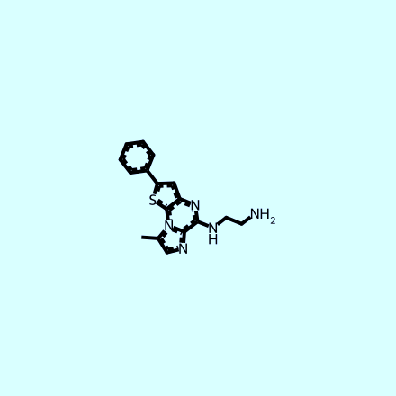 Cc1cnc2c(NCCN)nc3cc(-c4ccccc4)sc3n12